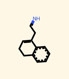 N=CCC1=CCCc2ccccc21